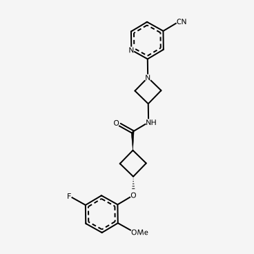 COc1ccc(F)cc1O[C@H]1C[C@H](C(=O)NC2CN(c3cc(C#N)ccn3)C2)C1